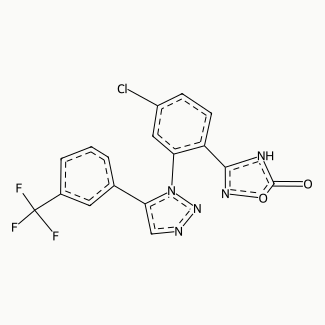 O=c1[nH]c(-c2ccc(Cl)cc2-n2nncc2-c2cccc(C(F)(F)F)c2)no1